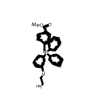 COC(=O)c1ccc(C[PH](c2ccccc2)(c2ccccc2)c2cccc(OCC[18F])c2)cc1